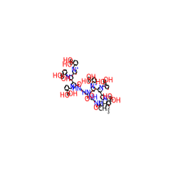 C=C(C)C(=O)NCCCNC(=O)C(CCCCNC(=O)c1cc(-c2cc(-c3ccc[n+](Cc4ccccc4B(O)O)c3)c[n+](Cc3ccccc3B(O)O)c2)c[n+](Cc2ccccc2B(O)O)c1)NC(=O)c1cc(-c2cc(-c3ccc[n+](Cc4ccccc4B(O)O)c3)c[n+](Cc3ccccc3B(O)O)c2)c[n+](Cc2ccccc2B(O)O)c1